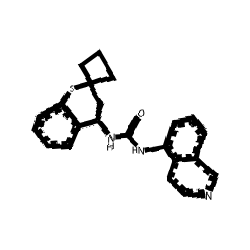 O=C(Nc1cccc2cnccc12)NC1CC2(CCC2)Sc2ccccc21